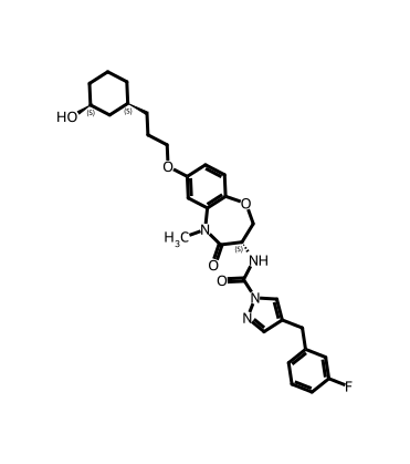 CN1C(=O)[C@@H](NC(=O)n2cc(Cc3cccc(F)c3)cn2)COc2ccc(OCCC[C@@H]3CCC[C@H](O)C3)cc21